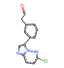 O=CCc1cccc(-c2cnc3ccc(Cl)nn23)c1